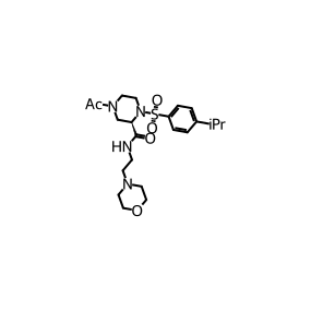 CC(=O)N1CCN(S(=O)(=O)c2ccc(C(C)C)cc2)[C@@H](C(=O)NCCN2CCOCC2)C1